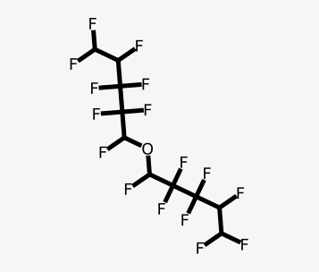 FC(F)C(F)C(F)(F)C(F)(F)C(F)OC(F)C(F)(F)C(F)(F)C(F)C(F)F